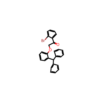 O=C(COc1ccccc1[C](c1ccccc1)c1ccccc1)c1ccccc1Br